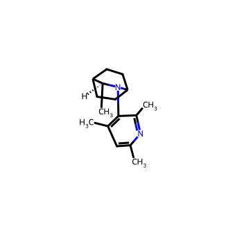 Cc1cc(C)c(N2C3CCC(CC3)[C@@H]2C)c(C)n1